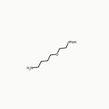 CCCCCCCOCCCCN